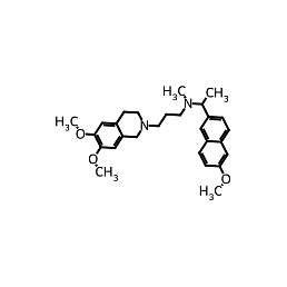 COc1ccc2cc(C(C)N(C)CCCN3CCc4cc(OC)c(OC)cc4C3)ccc2c1